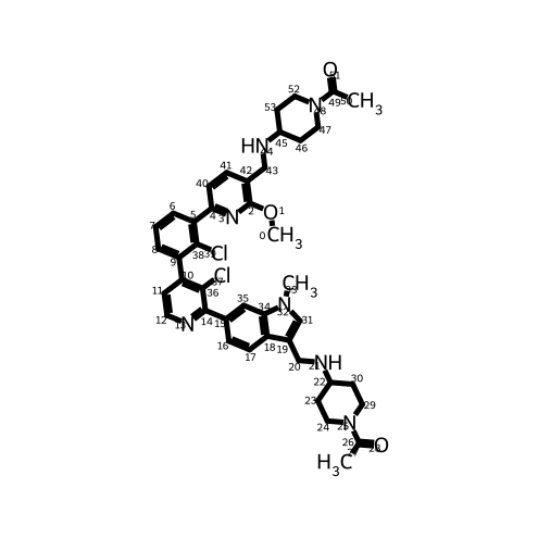 COc1nc(-c2cccc(-c3ccnc(-c4ccc5c(CNC6CCN(C(C)=O)CC6)cn(C)c5c4)c3Cl)c2Cl)ccc1CNC1CCN(C(C)=O)CC1